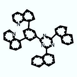 c1ccc2c(-c3nc(-c4cc(-c5cccc6cccnc56)cc(-c5cccc6cccnc56)c4)nc(-c4cccc5ccccc45)n3)cccc2c1